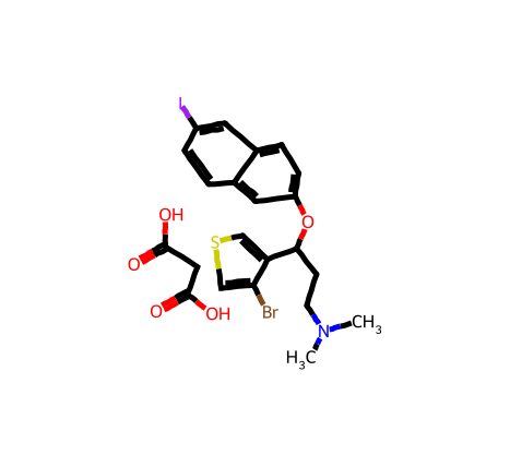 CN(C)CCC(Oc1ccc2cc(I)ccc2c1)c1cscc1Br.O=C(O)CC(=O)O